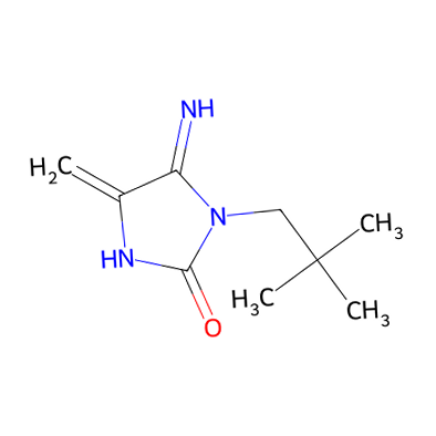 C=C1NC(=O)N(CC(C)(C)C)C1=N